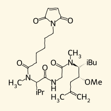 C=C(C)C[C@@H](OC)[C@H]([C@@H](C)CC)N(C)C(=O)CNC(=O)C(C(C)C)N(C)C(=O)CCCCCN1C(=O)C=CC1=O